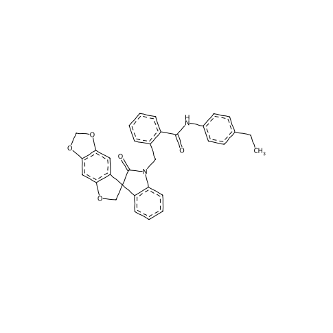 CCc1ccc(NC(=O)c2ccccc2CN2C(=O)C3(COc4cc5c(cc43)OCO5)c3ccccc32)cc1